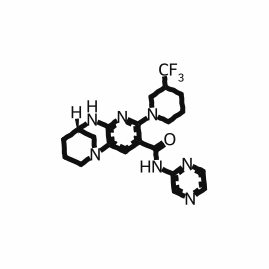 O=C(Nc1cnccn1)c1cc2c(nc1N1CCCC(C(F)(F)F)C1)N[C@H]1CCCN2C1